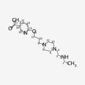 CCNCCN1CCN(CCCOc2ccc(C(C)=O)cn2)CC1